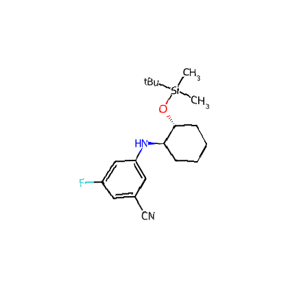 CC(C)(C)[Si](C)(C)O[C@@H]1CCCC[C@H]1Nc1cc(F)cc(C#N)c1